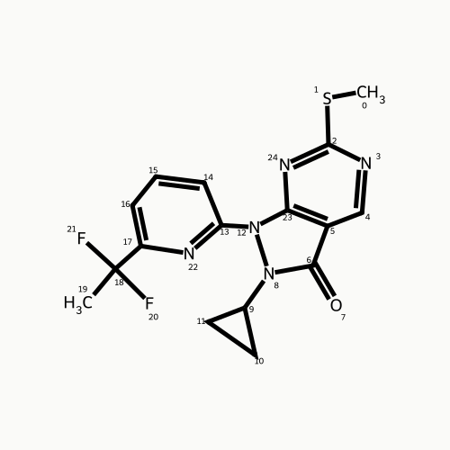 CSc1ncc2c(=O)n(C3CC3)n(-c3cccc(C(C)(F)F)n3)c2n1